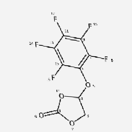 O=C1OCC(Oc2c(F)c(F)c(F)c(F)c2F)O1